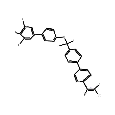 CC/C(F)=C(\F)c1ccc(-c2ccc(C(F)(F)Oc3ccc(-c4cc(F)c(F)c(F)c4)cc3)cc2)cc1